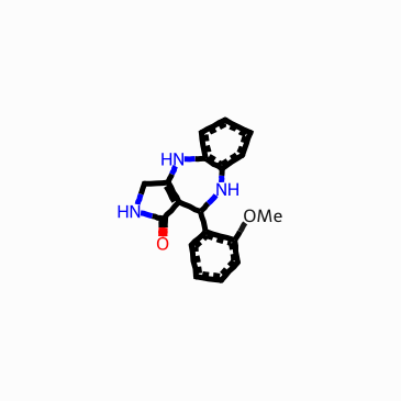 COc1ccccc1C1Nc2ccccc2NC2=C1C(=O)NC2